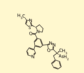 Cc1csc([C@H]2CCCN2C(=O)c2cc(-c3cccnc3)cc(-c3nnc([C@](C)([AsH2])Cc4ccccc4)o3)c2)n1